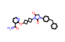 NC(=O)c1cccnc1OC1CC2(C1)CC(N1C(=O)CN(c3ccc(Cc4ccccc4)cc3)C1=O)C2